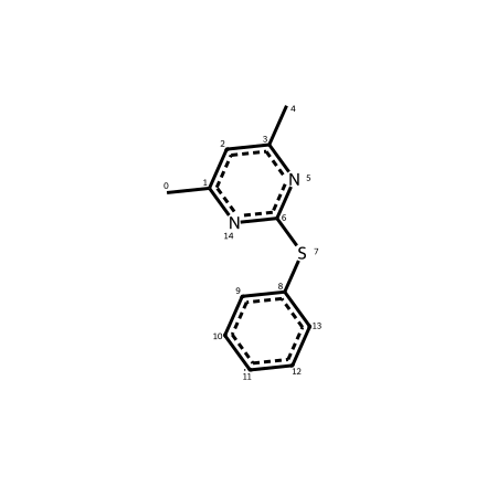 Cc1cc(C)nc(Sc2cc[c]cc2)n1